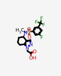 CN([C@@H]1CCCc2c1cnn2CC(=O)O)S(=O)(=O)c1cc(F)cc(C(F)(F)F)c1